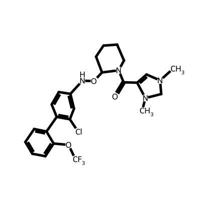 CN1C=C(C(=O)N2CCCCC2ONc2ccc(-c3ccccc3OC(F)(F)F)c(Cl)c2)N(C)C1